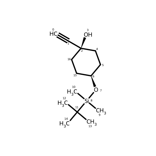 C#C[C@]1(O)CC[C@@H](O[Si](C)(C)C(C)(C)C)CC1